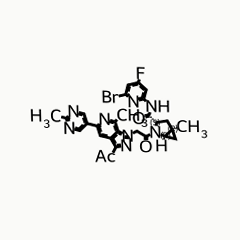 CC(=O)c1nn(CC(=O)N2[C@H](C(=O)Nc3cc(F)cc(Br)n3)C[C@@]3(C)C[C@@H]23)c2c(C)nc(-c3cnc(C)nc3)cc12